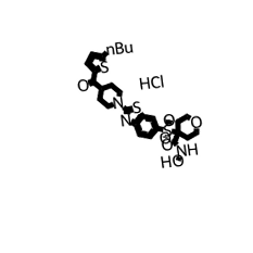 CCCCc1ccc(C(=O)C2CCN(c3nc4ccc(S(=O)(=O)C5(C(=O)NO)CCOCC5)cc4s3)CC2)s1.Cl